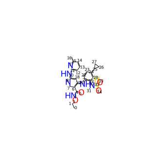 CCONC(=O)c1cnc(Nc2cccc(C)n2)cc1Nc1ccc(C2CC2)cc1N(C)[SH](=O)=O